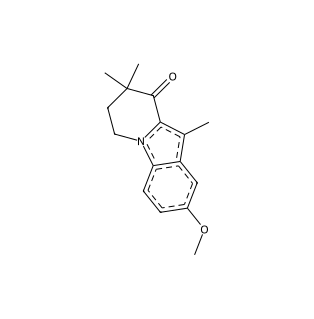 COc1ccc2c(c1)c(C)c1n2CCC(C)(C)C1=O